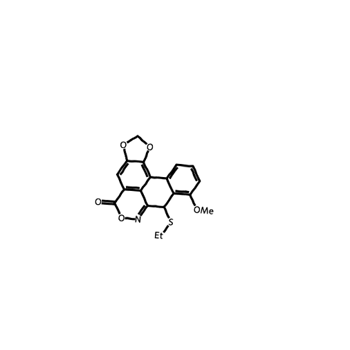 CCSC1c2c(OC)cccc2-c2c3c(cc4c(=O)onc1c24)OCO3